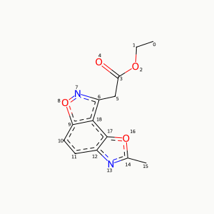 CCOC(=O)Cc1noc2ccc3nc(C)oc3c12